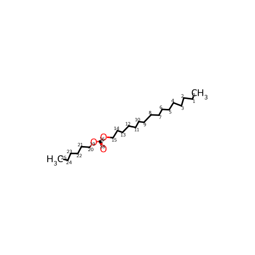 CCCCCCCCCCCCCCCCOC(=O)OCCCCCC